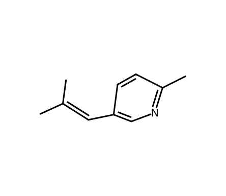 CC(C)=Cc1ccc(C)nc1